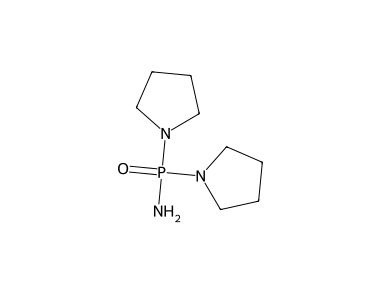 NP(=O)(N1CCCC1)N1CCCC1